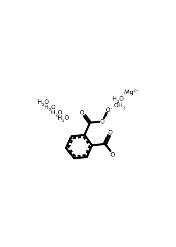 O.O.O.O.O.O.O=C([O-])c1ccccc1C(=O)O[O-].[Mg+2]